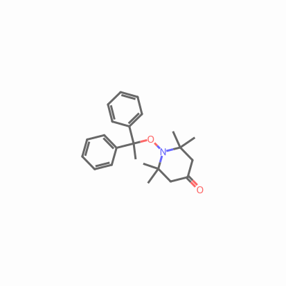 CC(ON1C(C)(C)CC(=O)CC1(C)C)(c1ccccc1)c1ccccc1